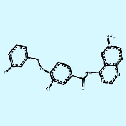 Nc1ccc2ncnc(NC(=O)c3ccc(OCc4cccc(F)c4)c(Cl)c3)c2c1